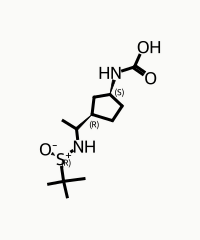 CC(N[S@@+]([O-])C(C)(C)C)[C@@H]1CC[C@H](NC(=O)O)C1